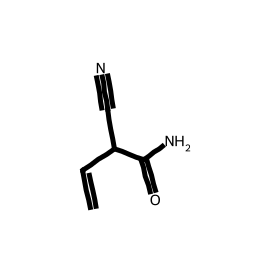 C=CC(C#N)C(N)=O